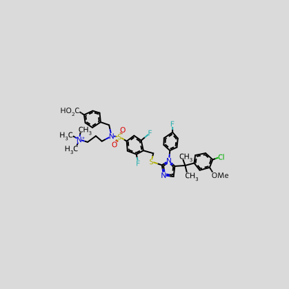 COc1cc(C(C)(C)c2cnc(SCc3c(F)cc(S(=O)(=O)N(CCC[N+](C)(C)C)Cc4ccc(C(=O)O)cc4)cc3F)n2-c2ccc(F)cc2)ccc1Cl